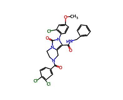 COc1ccc(-n2c(C(=O)NCc3ccccc3)c3n(c2=O)CCN(C(=O)c2ccc(Cl)c(Cl)c2)C3)c(Cl)c1